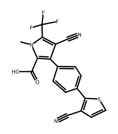 Cn1c(C(=O)O)c(-c2ccc(-c3sccc3C#N)cc2)c(C#N)c1C(F)(F)F